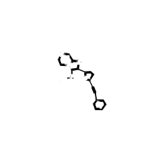 CN(C)c1c(-c2ccc(C#Cc3ccccc3)s2)nc2cnccn12